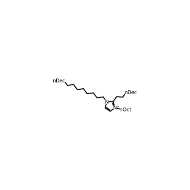 CCCCCCCCCCCCCCCCCCn1cc[n+](CCCCCCCC)c1CCCCCCCCCCCC